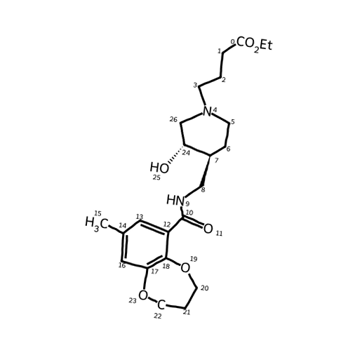 CCOC(=O)CCCN1CC[C@@H](CNC(=O)c2cc(C)cc3c2OCCCO3)[C@H](O)C1